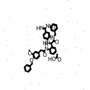 CC(=O)O.COc1cc(CC(=O)Nc2ccccc2C(Nc2ccc(C(=N)N)cc2)C(=O)NCc2ccccc2)ccc1OCc1ccccc1